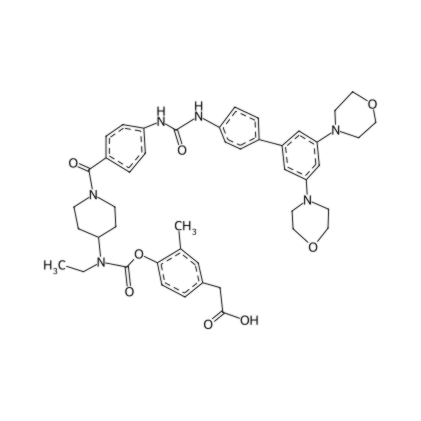 CCN(C(=O)Oc1ccc(CC(=O)O)cc1C)C1CCN(C(=O)c2ccc(NC(=O)Nc3ccc(-c4cc(N5CCOCC5)cc(N5CCOCC5)c4)cc3)cc2)CC1